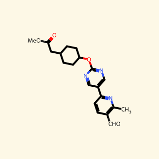 COC(=O)CC1CCC(Oc2ncc(-c3ccc(C=O)c(C)n3)cn2)CC1